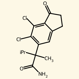 CC(C)C(C)(C(N)=O)c1cc2c(c(Cl)c1Cl)C(=O)CC2